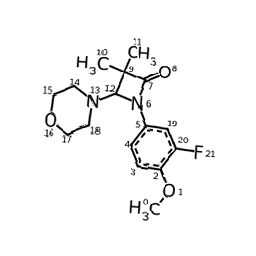 COc1ccc(N2C(=O)C(C)(C)C2N2CCOCC2)cc1F